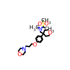 CC(N(C)CC1(c2ccc(OCCCN3CCOCC3)cc2)CCOCC1)S(C)(=O)=O